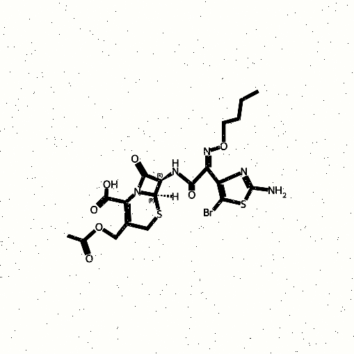 CCCCON=C(C(=O)N[C@@H]1C(=O)N2C(C(=O)O)=C(COC(C)=O)CS[C@H]12)c1nc(N)sc1Br